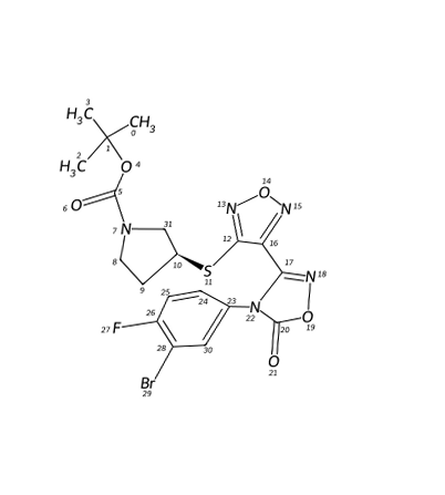 CC(C)(C)OC(=O)N1CC[C@H](Sc2nonc2-c2noc(=O)n2-c2ccc(F)c(Br)c2)C1